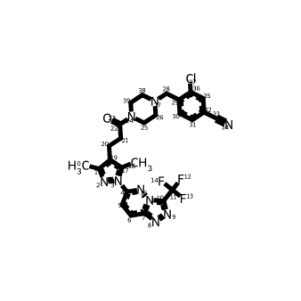 Cc1nn(-c2ccc3nnc(C(F)(F)F)n3n2)c(C)c1CCC(=O)N1CCN(Cc2ccc(C#N)cc2Cl)CC1